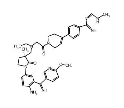 CCN(CC(=O)N1CC=C(c2ccc(C(=N)/N=C\NC)cc2)CC1)C[C@]1(C)CCN(c2ccc(N)c(C(=N)c3ccc(OC)nc3)n2)C1=O